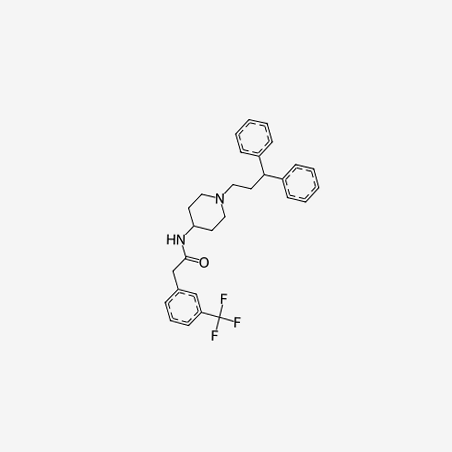 O=C(Cc1cccc(C(F)(F)F)c1)NC1CCN(CCC(c2ccccc2)c2ccccc2)CC1